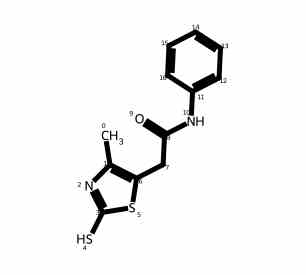 Cc1nc(S)sc1CC(=O)Nc1ccccc1